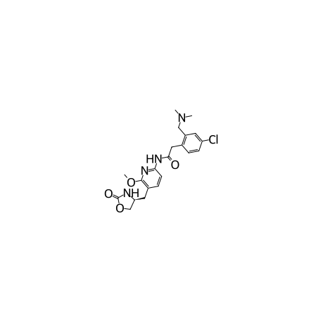 COc1nc(NC(=O)Cc2ccc(Cl)cc2CN(C)C)ccc1C[C@H]1COC(=O)N1